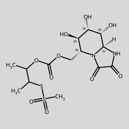 CC(OC(=O)OC[C@@H]1[C@@H](O)[C@H](O)[C@H](O)[C@H]2NC(=O)C(=O)N12)C(C)SS(C)(=O)=O